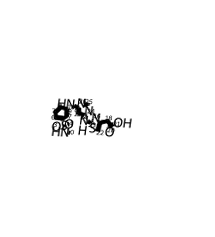 CNS(=O)(=O)c1cccc(Nc2cc(Nc3nc(CC(=O)O)cs3)ncn2)c1